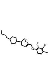 CCCCC1CCC(C2CC=C(COc3ccc(C)c(F)c3F)CC2)CC1